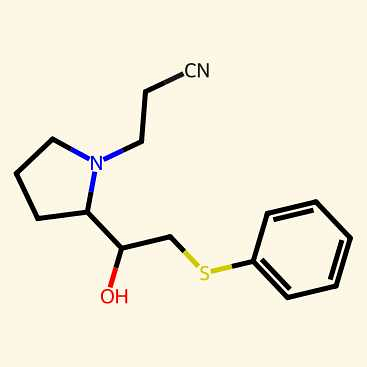 N#CCCN1CCCC1C(O)CSc1ccccc1